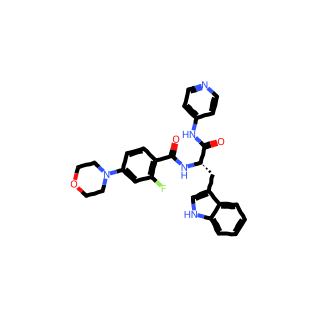 O=C(N[C@@H](Cc1c[nH]c2ccccc12)C(=O)Nc1ccncc1)c1ccc(N2CCOCC2)cc1F